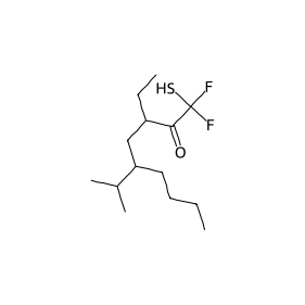 CCCCC(CC(CC)C(=O)C(F)(F)S)C(C)C